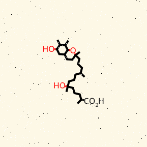 CC(CCCC(C)(O)CCCC(C)C(=O)O)CCCC1(C)CCC2CC(O)C(C)C(C)C2O1